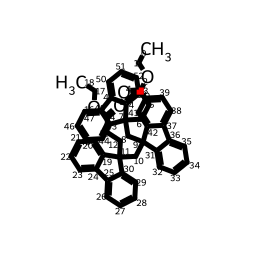 CCOC(=O)CCC1(CC2(CC3(CCC(=O)OCC)c4ccccc4-c4ccccc43)c3ccccc3-c3ccccc32)c2ccccc2-c2ccccc21